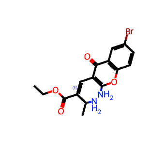 CCOC(=O)/C(=C/c1c(N)oc2ccc(Br)cc2c1=O)C(C)N